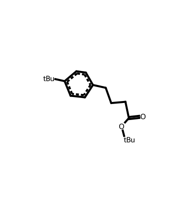 CC(C)(C)OC(=O)CCCc1ccc(C(C)(C)C)cc1